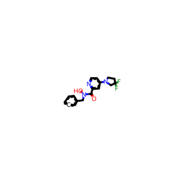 O=C(c1cc(N2CCC(F)(F)C2)ccn1)N(O)Cc1ccccc1